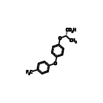 C[C@H](Oc1ccc(Oc2ccc(C(F)(F)F)cc2)cc1)C(=O)O